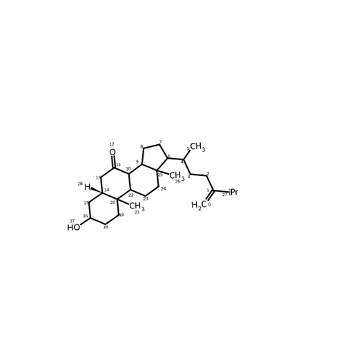 C=C(CCC(C)C1CCC2C3C(=O)C[C@H]4CC(O)CCC4(C)C3CCC12C)C(C)C